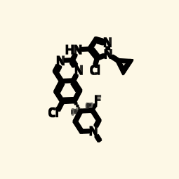 CN1CC[C@H](c2cc3nc(Nc4cnn(C5CC5)c4Cl)ncc3cc2Cl)[C@@H](F)C1